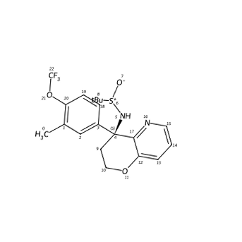 Cc1cc([C@@]2(N[S+]([O-])C(C)(C)C)CCOc3cccnc32)ccc1OC(F)(F)F